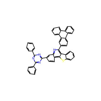 c1ccc(-c2nc(-c3ccccc3)nc(-c3ccc4c(c3)nc(-c3ccc5c6ccccc6c6ccccc6c5c3)c3c5ccccc5sc43)n2)cc1